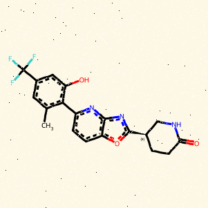 Cc1cc(C(F)(F)F)cc(O)c1-c1ccc2oc([C@@H]3CCC(=O)NC3)nc2n1